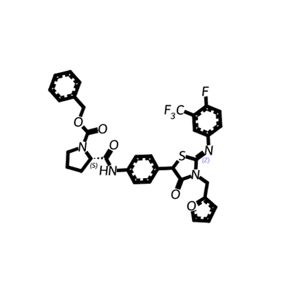 O=C(Nc1ccc(C2S/C(=N\c3ccc(F)c(C(F)(F)F)c3)N(Cc3ccco3)C2=O)cc1)[C@@H]1CCCN1C(=O)OCc1ccccc1